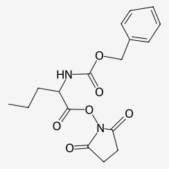 CCCC(NC(=O)OCc1ccccc1)C(=O)ON1C(=O)CCC1=O